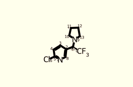 FC(F)(F)[C@@H](c1ccc(Cl)nc1)N1C[CH]CC1